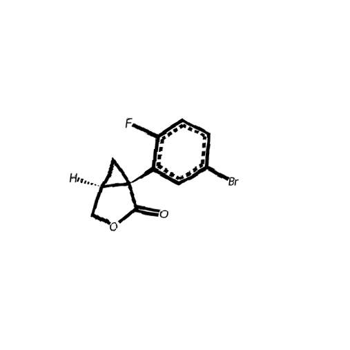 O=C1OC[C@H]2C[C@]12c1cc(Br)ccc1F